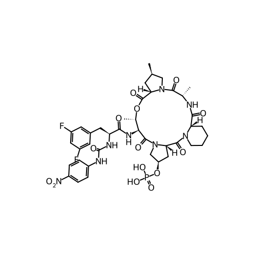 C[C@@H]1C[C@H]2C(=O)O[C@@H](C)[C@H](NC(=O)[C@H](Cc3cc(F)cc(F)c3)NC(=O)Nc3ccc([N+](=O)[O-])cc3)C(=O)N3C[C@H](OP(=O)(O)O)C[C@H]3C(=O)N3CCCC[C@H]3C(=O)N[C@@H](C)C(=O)N2C1